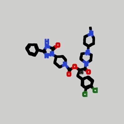 CN1CCC(N2CCN(C(=O)[C@@H](Cc3ccc(Cl)c(Cl)c3)OC(=O)N3CCC(n4nc(-c5ccccc5)[nH]c4=O)CC3)CC2)CC1